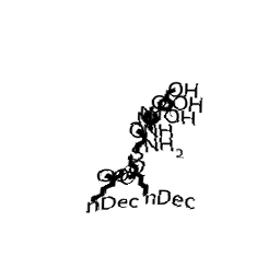 CCCCCCCCCCCCCCC(=O)OC[C@H](CSC[C@@H](N)C(=O)Nc1cn([C@H]2OC(CO)[C@@H](O)[C@@H]2O)nn1)OC(=O)CCCCCCCCCCCCCC